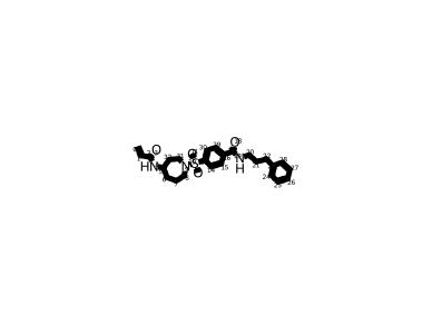 C=CC(=O)NC1CCCN(S(=O)(=O)c2ccc(C(=O)NCCCc3ccccc3)cc2)CC1